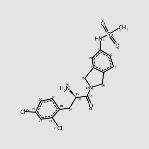 CS(=O)(=O)Nc1ccc2c(c1)CN(C(=O)[C@H](N)Cc1ccc(Cl)cc1Cl)C2